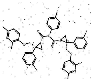 Cc1ncc(OC[C@@]2(c3cccc(F)c3)C[C@H]2C(=O)N(C(=O)[C@@H]2C[C@@]2(COc2cnc(C)nc2C)c2cccc(F)c2)c2ccc(F)cn2)c(C)n1